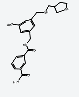 CC(C)COc1cc(CNCC2CCNC2)cc(CNC(=O)c2cccc(C(N)=O)c2)c1